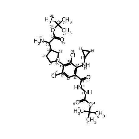 CC(C)(C)OC(=O)NNC(=O)c1cc(Cl)c(N2CCC(C(N)C(=O)OC(C)(C)C)C2)c(Cl)c1NC1CC1